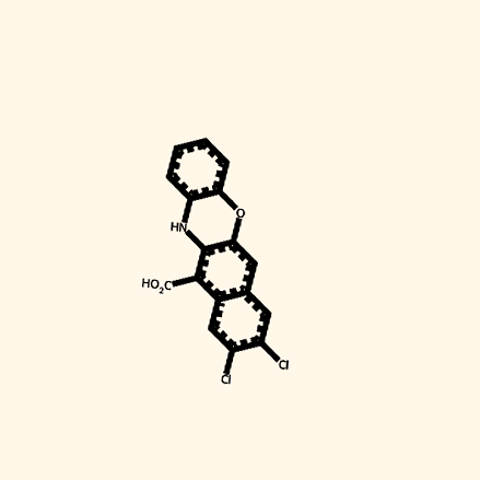 O=C(O)c1c2c(cc3cc(Cl)c(Cl)cc13)Oc1ccccc1N2